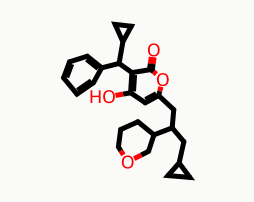 O=c1oc(CC(CC2CC2)C2CCCOC2)cc(O)c1C(c1ccccc1)C1CC1